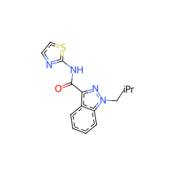 CC(C)Cn1nc(C(=O)Nc2nccs2)c2ccccc21